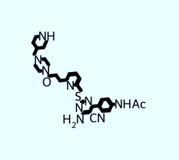 CC(=O)Nc1ccc(-c2nc(SCc3cccc(CCC(=O)N4CCN(CC5CCNCC5)CC4)n3)nc(N)c2C#N)cc1